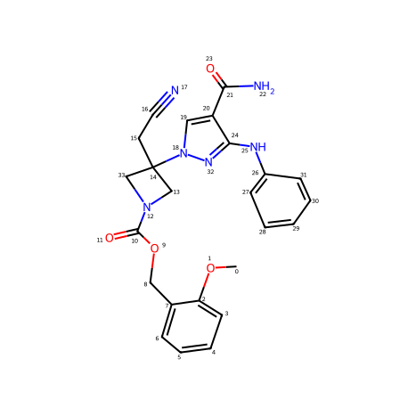 COc1ccccc1COC(=O)N1CC(CC#N)(n2cc(C(N)=O)c(Nc3ccccc3)n2)C1